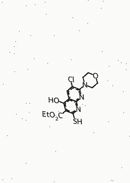 CCOC(=O)c1c(S)nc2nc(N3CCOCC3)c(Cl)cc2c1O